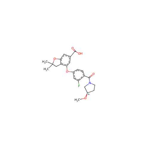 CO[C@@H]1CCN(C(=O)c2ccc(Oc3cc(C(=O)O)cc4c3CC(C)(C)O4)cc2F)C1